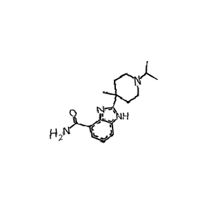 CC(C)N1CCC(C)(c2nc3c(C(N)=O)cccc3[nH]2)CC1